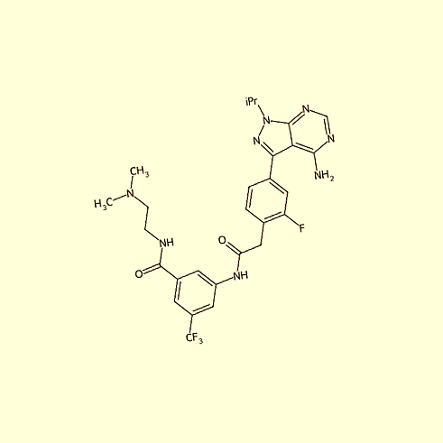 CC(C)n1nc(-c2ccc(CC(=O)Nc3cc(C(=O)NCCN(C)C)cc(C(F)(F)F)c3)c(F)c2)c2c(N)ncnc21